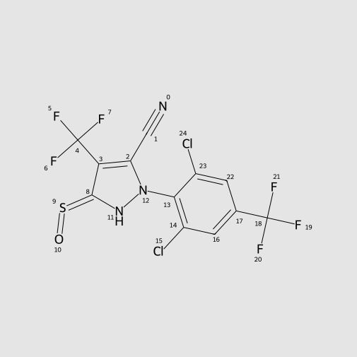 N#Cc1c(C(F)(F)F)c(=S=O)[nH]n1-c1c(Cl)cc(C(F)(F)F)cc1Cl